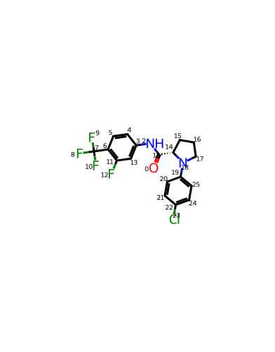 O=C(Nc1ccc(C(F)(F)F)c(F)c1)[C@@H]1CCCN1c1ccc(Cl)cc1